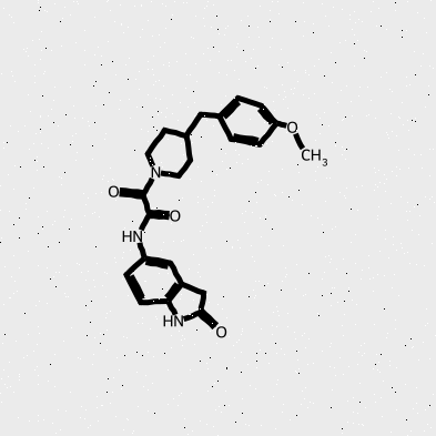 COc1ccc(CC2CCN(C(=O)C(=O)Nc3ccc4c(c3)CC(=O)N4)CC2)cc1